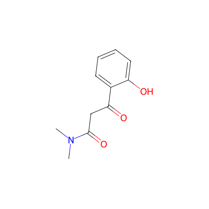 CN(C)C(=O)CC(=O)c1ccccc1O